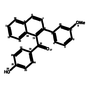 COc1cccc(-c2ccc3ccccc3c2C(=O)c2ccc(O)cc2)c1